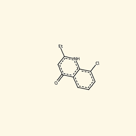 CCc1cc(=O)c2cccc(Cl)c2[nH]1